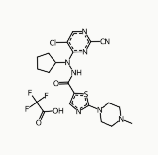 CN1CCN(c2ncc(C(=O)NN(c3nc(C#N)ncc3Cl)C3CCCC3)s2)CC1.O=C(O)C(F)(F)F